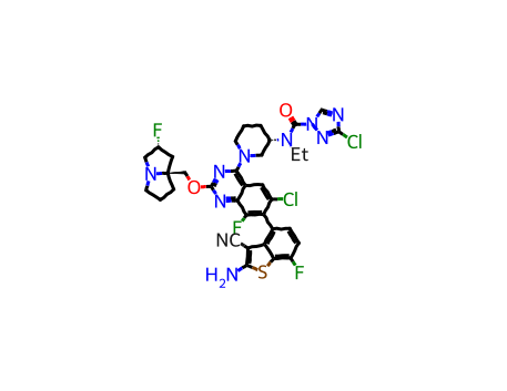 CCN(C(=O)n1cnc(Cl)n1)[C@H]1CCCN(c2nc(OC[C@@]34CCCN3C[C@H](F)C4)nc3c(F)c(-c4ccc(F)c5sc(N)c(C#N)c45)c(Cl)cc23)C1